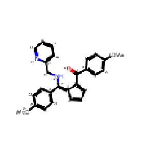 COc1ccc(C(=O)C2=CC=CC2=C(NCc2ccccn2)c2ccc(OC)cc2)cc1